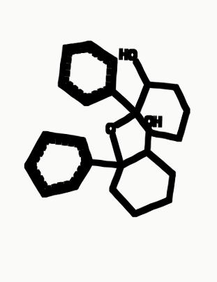 OC1CCCCC1(OC1(c2ccccc2)CCCCC1O)c1ccccc1